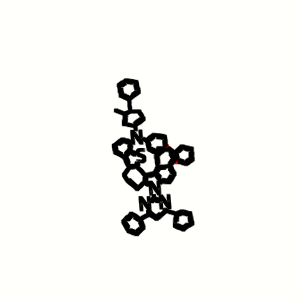 CC1=CC(N(c2ccc(-c3ccccc3)cc2)c2cccc3c4c(sc23)-c2c(n(-c3nc(-c5ccccc5)cc(-c5ccccc5)n3)c3ccc5ccccc5c23)C=CC4)=CCC1c1ccccc1